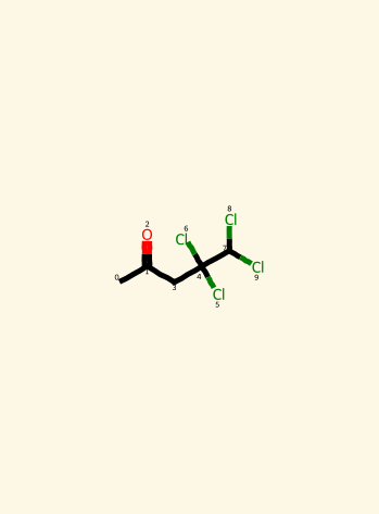 CC(=O)CC(Cl)(Cl)C(Cl)Cl